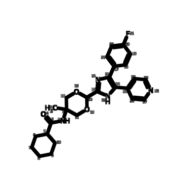 CC1(NC(=O)C2CCCCC2)COC(c2nc(-c3ccc(F)cc3)c(-c3ccncc3)[nH]2)OC1